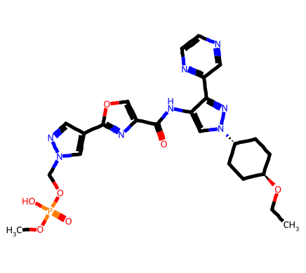 CCO[C@H]1CC[C@H](n2cc(NC(=O)c3coc(-c4cnn(COP(=O)(O)OC)c4)n3)c(-c3cnccn3)n2)CC1